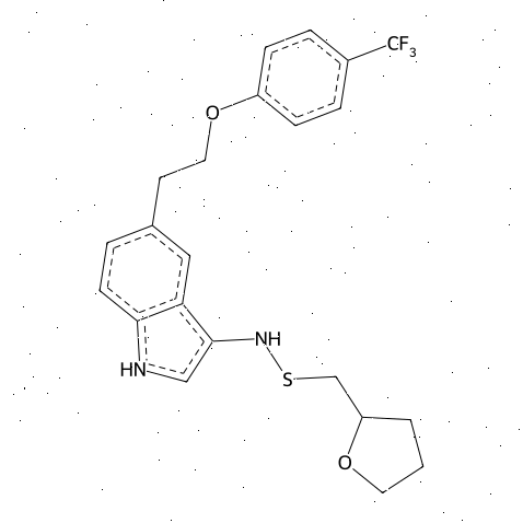 FC(F)(F)c1ccc(OCCc2ccc3[nH]cc(NSCC4CCCO4)c3c2)cc1